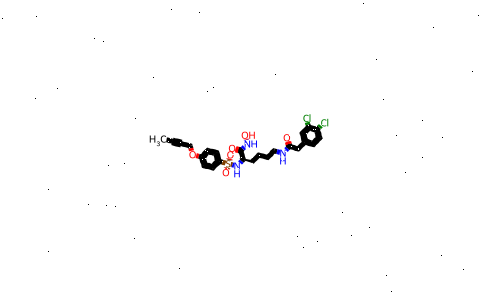 CC#CCOc1ccc(S(=O)(=O)N[C@H](CCCCNC(=O)Cc2ccc(Cl)c(Cl)c2)C(=O)NO)cc1